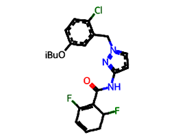 CC(C)COc1ccc(Cl)c(Cn2ccc(NC(=O)C3=C(F)C=CCC3F)n2)c1